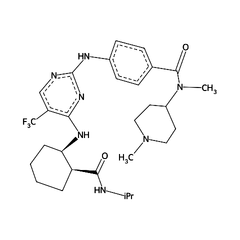 CC(C)NC(=O)[C@H]1CCCC[C@H]1Nc1nc(Nc2ccc(C(=O)N(C)C3CCN(C)CC3)cc2)ncc1C(F)(F)F